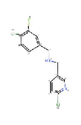 Fc1cc(CNCc2ccc(Cl)nc2)ccc1Cl